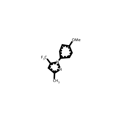 COc1ccc(-n2nc(C)cc2C(F)(F)F)cc1